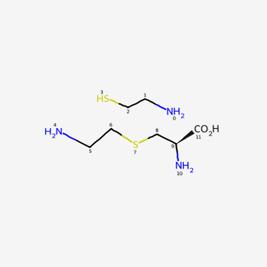 NCCS.NCCSC[C@H](N)C(=O)O